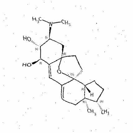 C[C@H]1CC[C@@H]2[C@]1(C)CC=C1C=C3[C@@H](O)[C@H](O)[C@@H](N(C)C)C[C@]34CC[C@@]12O4